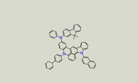 CC1(C)c2ccccc2-c2ccc(N(c3ccccc3)c3ccc(N(c4ccccc4)c4ccc(C5C=CC=CC5)cc4)c(-c4ccc5c(c4)c4ccccc4n5-c4ccc5ccccc5c4)c3)cc21